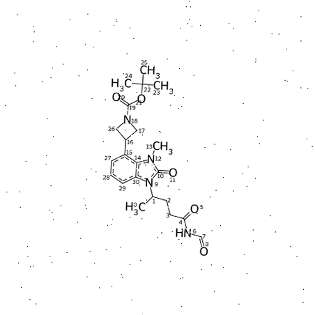 CC(CCC(=O)NC=O)n1c(=O)n(C)c2c(C3CN(C(=O)OC(C)(C)C)C3)cccc21